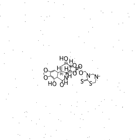 CN1CSC(=S)N(COP2(=O)O[C@H]3[C@@H]4NC(=O)C5C(O)=C6OCOC6=CC5[C@H]4C[C@H](O)[C@H]3O2)C1